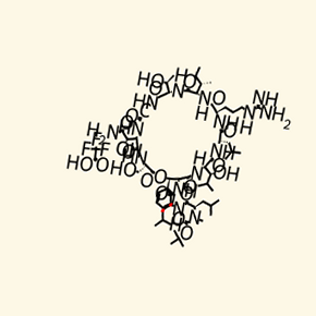 CC[C@H](C)[C@@H]1NC(=O)[C@@H](CCCNC(=N)N)NC(=O)[C@H](CC(C)C)NC(=O)[C@H]([C@H](O)C(C)C)NC(=O)[C@@H](NC(=O)[C@H](CC(C)C)NC(=O)[C@@H](CC(C)C)N(C)C(=O)OC(C)(C)C)[C@@H](c2ccccc2)OC(=O)[C@H](CO)NC(=O)[C@H]([C@H](O)C(N)=O)NC(=O)CNC(=O)[C@H]([C@H](C)O)NC1=O.O=C(O)C(F)(F)F